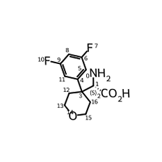 N[C@H](C(=O)O)C1(c2cc(F)cc(F)c2)CCOCC1